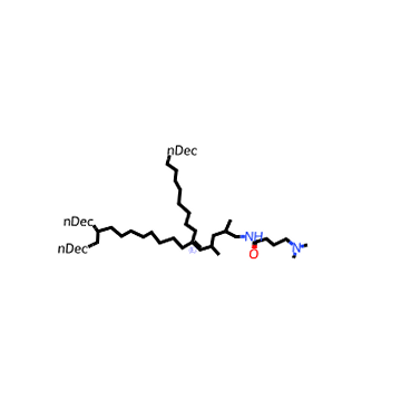 CCCCCCCCCCCCCCCCCC/C(=C\C(C)CC(C)CNC(=O)CCCN(C)C)CCCCCCCCC(CCCCCCCCCC)CCCCCCCCCCC